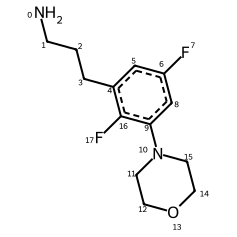 NCCCc1cc(F)cc(N2CCOCC2)c1F